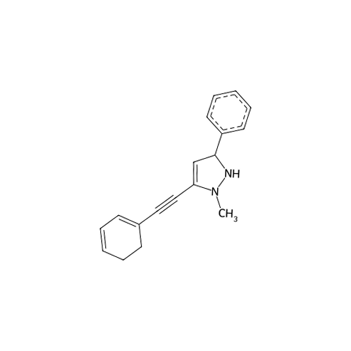 CN1NC(c2ccccc2)C=C1C#CC1=CC=CCC1